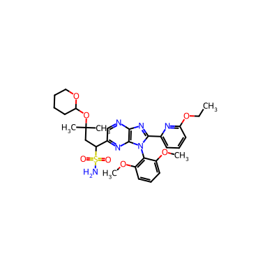 CCOc1cccc(-c2nc3ncc(C(CC(C)(C)OC4CCCCO4)S(N)(=O)=O)nc3n2-c2c(OC)cccc2OC)n1